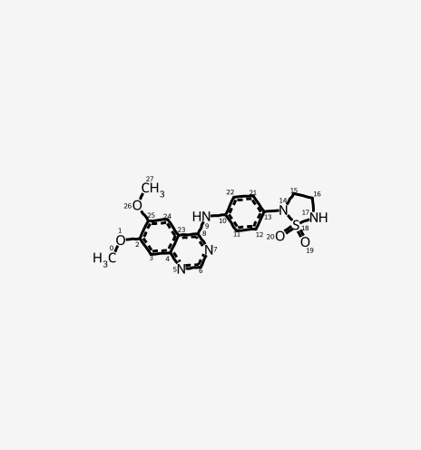 COc1cc2ncnc(Nc3ccc(N4CCNS4(=O)=O)cc3)c2cc1OC